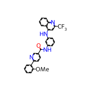 COc1ccccc1-c1ccc(C(=O)Nc2cccc(Nc3cc(C(F)(F)F)nc4ccccc34)c2)cn1